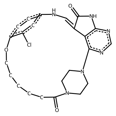 O=C1Nc2ncnc3c2/C1=C/Nc1ccc(c(Cl)c1)OCCCCCC(=O)N1CCN3CC1